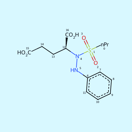 CCCS(=O)(=O)N(Nc1ccccc1)[C@@H](CCC(=O)O)C(=O)O